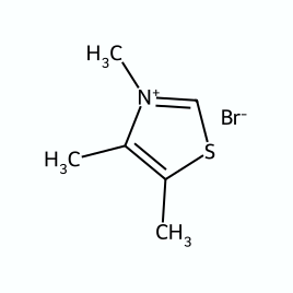 Cc1sc[n+](C)c1C.[Br-]